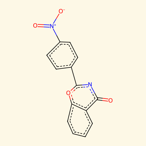 O=c1nc(-c2ccc([N+](=O)[O-])cc2)oc2ccccc12